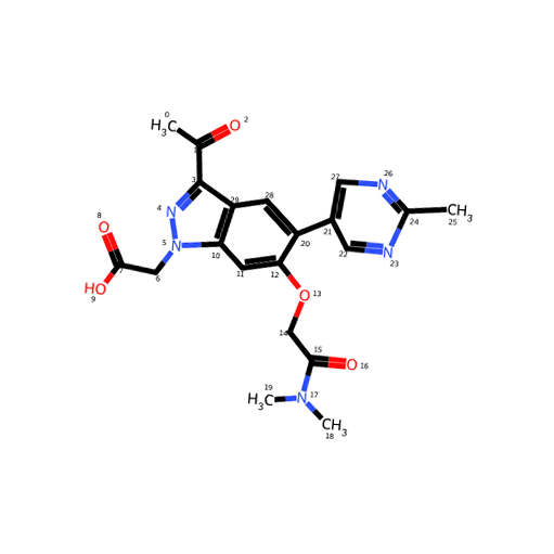 CC(=O)c1nn(CC(=O)O)c2cc(OCC(=O)N(C)C)c(-c3cnc(C)nc3)cc12